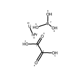 O=C(O)C(=O)O.OB(O)O.[Li][CH2]CC